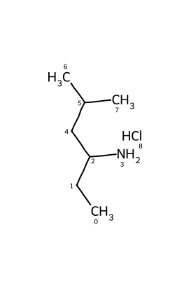 CCC(N)CC(C)C.Cl